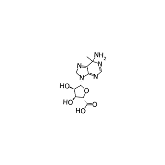 CC1(N)N=CN=C2C1=NCN2[C@@H]1O[C@H](C(=O)O)[C@@H](O)[C@H]1O